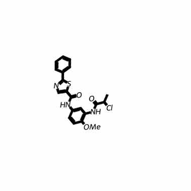 COc1ccc(NC(=O)c2cnc(-c3ccccc3)s2)cc1NC(=O)C(C)Cl